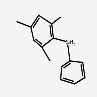 Cc1cc(C)c([SiH2]c2ccccc2)c(C)c1